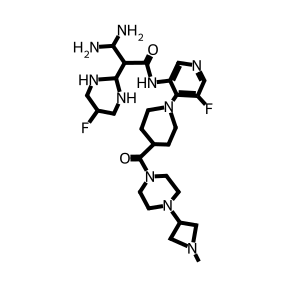 CN1CC(N2CCN(C(=O)C3CCN(c4c(F)cncc4NC(=O)C(C(N)N)C4NCC(F)CN4)CC3)CC2)C1